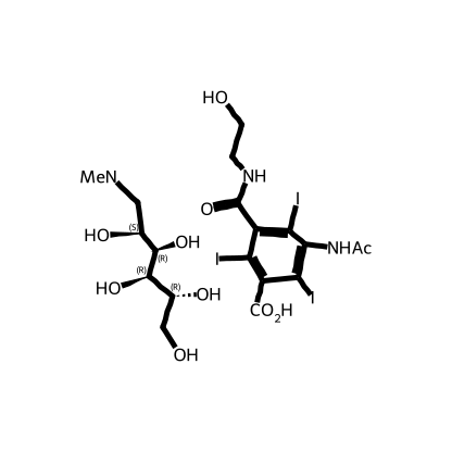 CC(=O)Nc1c(I)c(C(=O)O)c(I)c(C(=O)NCCO)c1I.CNC[C@H](O)[C@@H](O)[C@H](O)[C@H](O)CO